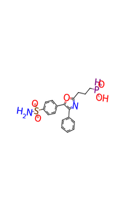 NS(=O)(=O)c1ccc(-c2oc(CCC[PH](=O)O)nc2-c2ccccc2)cc1